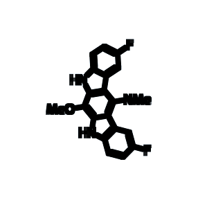 CNc1c2c([nH]c3ccc(F)cc32)c(OC)c2[nH]c3ccc(F)cc3c12